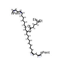 CCCCC/C=C\C/C=C\CCCCCCCCC(CCCCCCC/C=C\C/C=C\CCCCC)OC(=O)CCCN(CC)CC